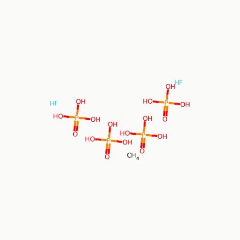 C.F.F.O=P(O)(O)O.O=P(O)(O)O.O=P(O)(O)O.O=P(O)(O)O